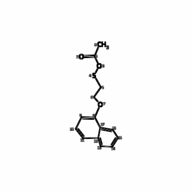 CC(=O)OSCCOc1cccc2ccccc12